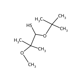 COC(C)(C)C(S)OC(C)(C)C